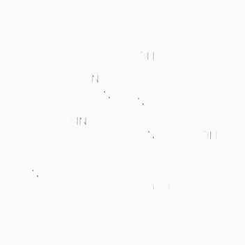 Bc1cnn2c(NCc3cccnc3)cc(N(CCO)CCO)nc12